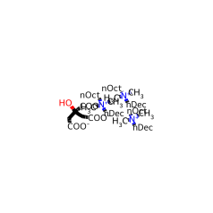 CCCCCCCCCC[N+](C)(C)CCCCCCCC.CCCCCCCCCC[N+](C)(C)CCCCCCCC.CCCCCCCCCC[N+](C)(C)CCCCCCCC.O=C([O-])CC(O)(CC(=O)[O-])C(=O)[O-]